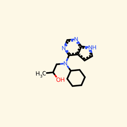 CC(O)CN(c1ncnc2[nH]ccc12)C1CCCCC1